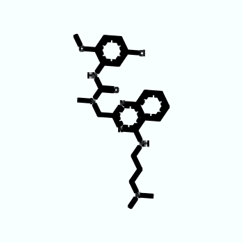 COc1ccc(Cl)cc1NC(=O)N(C)Cc1nc(NCCCN(C)C)c2ccccc2n1